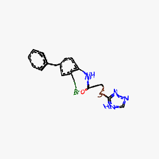 O=C(CSc1nnc[nH]1)Nc1ccc(-c2ccccc2)cc1Br